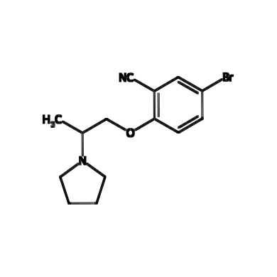 CC(COc1ccc(Br)cc1C#N)N1CCCC1